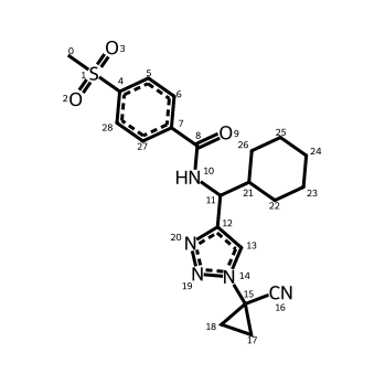 CS(=O)(=O)c1ccc(C(=O)NC(c2cn(C3(C#N)CC3)nn2)C2CCCCC2)cc1